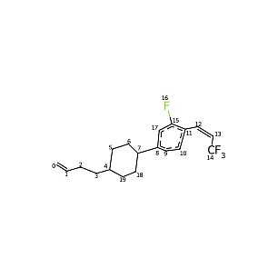 C=CCCC1CCC(c2ccc(/C=C\C(F)(F)F)c(F)c2)CC1